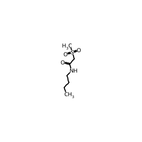 CCCCNC(=O)CS(C)(=O)=O